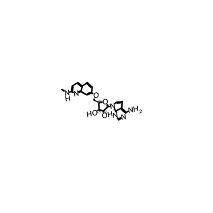 CNc1ccc2ccc(OC[C@H]3O[C@@H](n4ccc5c(N)ncnc54)[C@H](O)[C@@H]3O)cc2n1